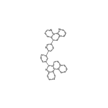 c1cc(-c2ccc(-c3cc4cccnc4c4ncccc34)cn2)cc(-c2nc3ccccc3c3c2ccc2ccccc23)c1